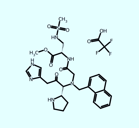 COC(=O)[C@H](CNS(C)(=O)=O)NC(=O)CN(Cc1cccc2ccccc12)C(C(=O)Cc1c[nH]cn1)[C@@H]1CCCN1.O=C(O)C(F)(F)F